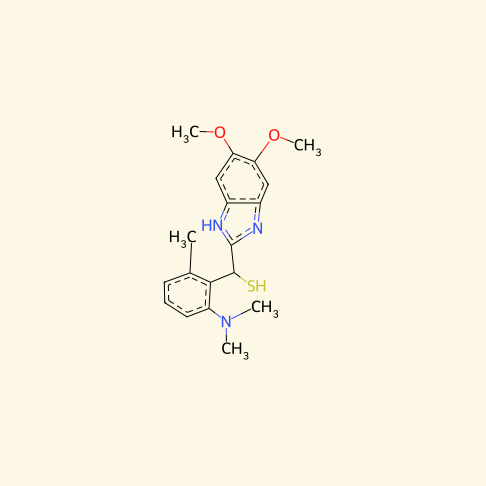 COc1cc2nc(C(S)c3c(C)cccc3N(C)C)[nH]c2cc1OC